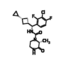 C[C@@H]1C(=O)NCCN1C(=O)N[C@@H](c1ccc(F)c(Cl)c1F)[C@H]1C[C@@H](C2CC2)C1